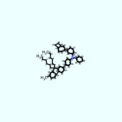 CCCCCCC1(CCCCCC)c2cc(C)ccc2-c2ccc(-c3ccc(N(c4ccccc4)c4cccc(-c5ccc6c(c5)CC6)c4)cc3)cc21